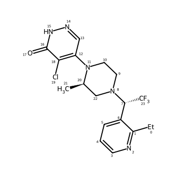 CCc1ncccc1[C@H](N1CCN(c2cn[nH]c(=O)c2Cl)[C@H](C)C1)C(F)(F)F